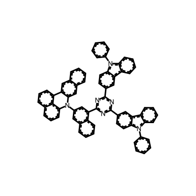 c1ccc(-n2c3ccccc3c3cc(-c4nc(-c5ccc6c(c5)c5ccccc5n6-c5ccccc5)nc(-c5cc(N6c7cc8ccccc8cc7-c7cccc8cccc6c78)cc6ccccc56)n4)ccc32)cc1